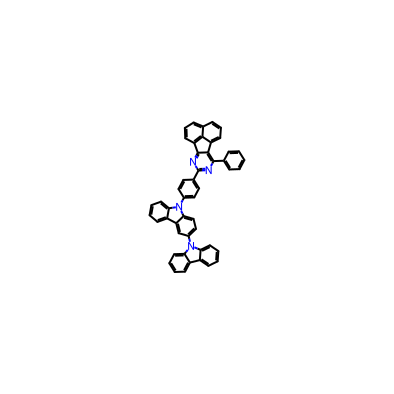 c1ccc(-c2nc(-c3ccc(-n4c5ccccc5c5cc(-n6c7ccccc7c7ccccc76)ccc54)cc3)nc3c2-c2cccc4cccc-3c24)cc1